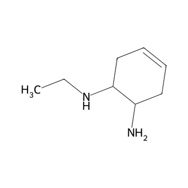 CCNC1CC=CCC1N